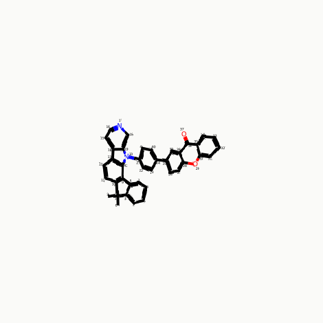 CC1(C)c2ccccc2-c2c1ccc1c3ccncc3n(-c3ccc(-c4ccc5oc6ccccc6c(=O)c5c4)cc3)c21